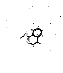 COC1OCC(C)c2ccccc21